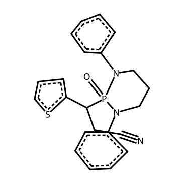 N#CCC(c1cccs1)P1(=O)N(c2ccccc2)CCCN1c1ccccc1